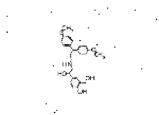 COc1ccc(C(CCNCC(O)c2ccc(O)c(CO)c2)c2ccc(OC)cc2)cc1